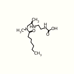 C=C(CN(C)C(=O)CCCCCC)NCCNC(=O)O